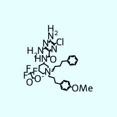 COc1ccc(CCC[N+]2(CCCCc3ccccc3)CCCC(NC(=O)c3nc(Cl)c(N)nc3N)C2)cc1.O=C([O-])C(F)(F)F